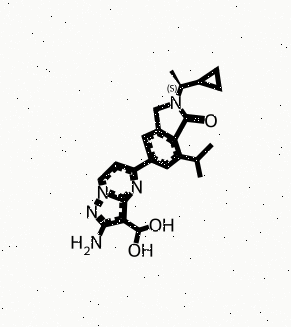 CC(C)c1cc(-c2ccn3nc(N)c(C(O)O)c3n2)cc2c1C(=O)N([C@@H](C)C1CC1)C2